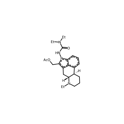 CCN(CC)C(=O)Nn1c(COC(C)=O)c2c3c(cccc31)[C@H]1CCCN(CC)[C@@H]1C2